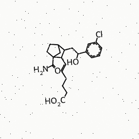 NC(=O)C12CCC(C1)C(CC(O)c1cccc(Cl)c1)C2C=CCCCC(=O)O